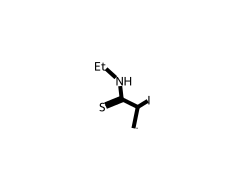 [CH2]C(I)C(=S)NCC